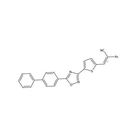 CC(=O)/C(C#N)=C/c1ccc(-c2noc(-c3ccc(-c4ccccc4)cc3)n2)s1